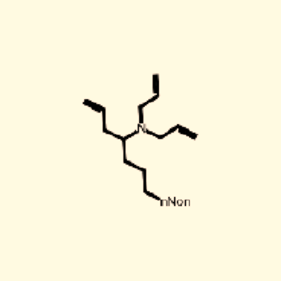 C=CCC(CCCCCCCCCCCC)N(CC=C)CC=C